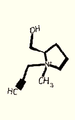 C#CC[N+]1(C)CCC[C@@H]1CO